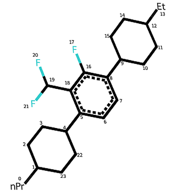 CCCC1CCC(c2ccc(C3CCC(CC)CC3)c(F)c2C(F)F)CC1